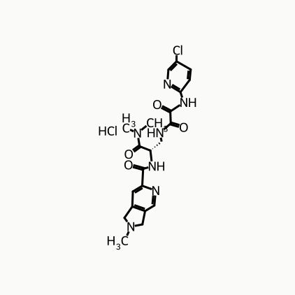 CN1Cc2cnc(C(=O)N[C@@H](CNC(=O)C(=O)Nc3ccc(Cl)cn3)C(=O)N(C)C)cc2C1.Cl